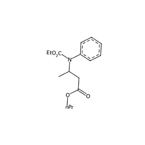 CCCOC(=O)CC(C)N(C(=O)OCC)c1ccccc1